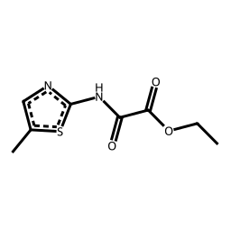 CCOC(=O)C(=O)Nc1ncc(C)s1